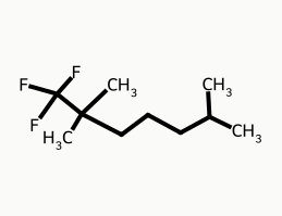 CC(C)CCCC(C)(C)C(F)(F)F